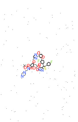 COc1ccccc1-c1nccc(COc2ccc(CN(CCN3CCN(C)CC3)C(=O)OC(C)(C)C)cc2CC(Oc2ncnc3sc(-c4ccc(F)cc4)c(-c4ccc(C=O)c(F)c4OC)c23)C(=O)O)n1